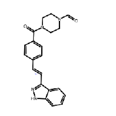 O=CN1CCN(C(=O)c2ccc(/C=C/c3n[nH]c4ccccc34)cc2)CC1